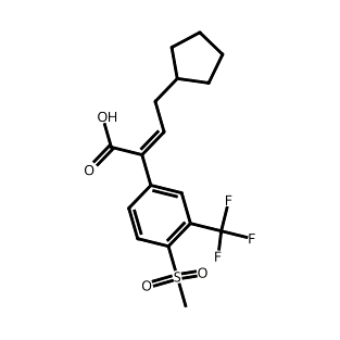 CS(=O)(=O)c1ccc(C(=CCC2CCCC2)C(=O)O)cc1C(F)(F)F